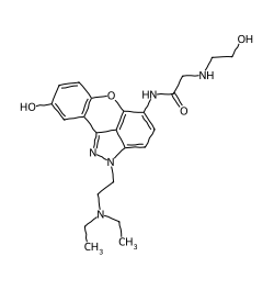 CCN(CC)CCn1nc2c3c(c(NC(=O)CNCCO)ccc31)Oc1ccc(O)cc1-2